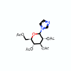 CC(=O)OC[C@H]1OC(n2ccnc2)[C@H](OC(C)=O)[C@@H](OC(C)=O)[C@@H]1OC(C)=O